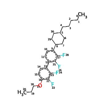 CCCCCC1CCC(c2ccc(-c3ccc(OCCC)c(F)c3F)c(F)c2F)CC1